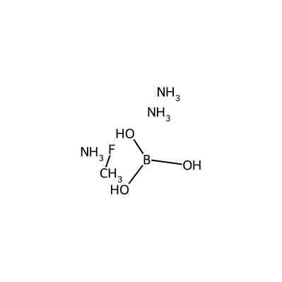 CF.N.N.N.OB(O)O